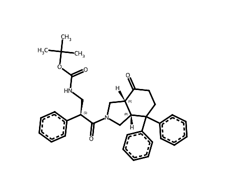 CC(C)(C)OC(=O)NC[C@@H](C(=O)N1C[C@@H]2C(=O)CCC(c3ccccc3)(c3ccccc3)[C@@H]2C1)c1ccccc1